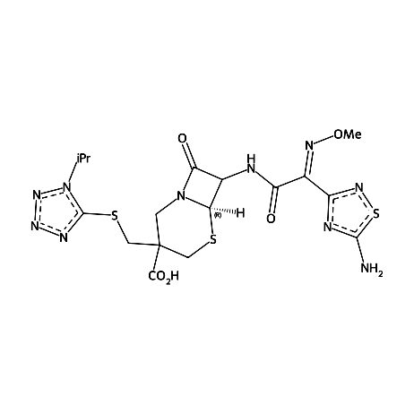 CON=C(C(=O)NC1C(=O)N2CC(CSc3nnnn3C(C)C)(C(=O)O)CS[C@H]12)c1nsc(N)n1